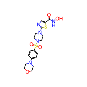 O=C(NO)c1cnc(N2CCN(S(=O)(=O)c3ccc(N4CCOCC4)cc3)CC2)s1